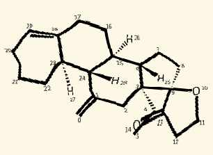 C=C1C[C@@]2(CC)[C@@H](CC[C@@]23OCCC3=O)[C@@H]2CCC3=CCCC[C@@H]3[C@@H]12